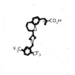 C[C@@H](Cc1ccc2c(c1)OC(C1CN(Cc3cc(C(F)(F)F)ccc3C(F)(F)F)C1)CCC2)C(=O)O